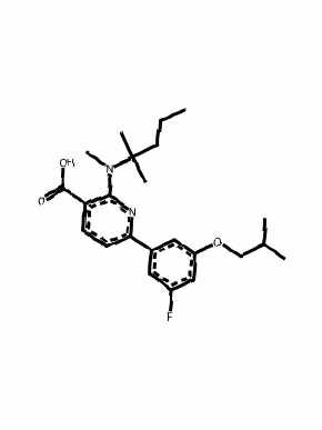 CCCC(C)(C)N(C)c1nc(-c2cc(F)cc(OCC(C)C)c2)ccc1C(=O)O